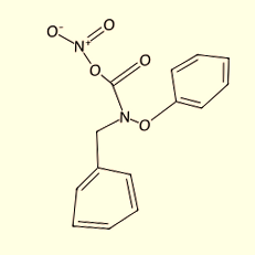 O=C(O[N+](=O)[O-])N(Cc1ccccc1)Oc1ccccc1